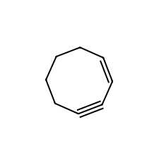 C1#CCCCCC=C1